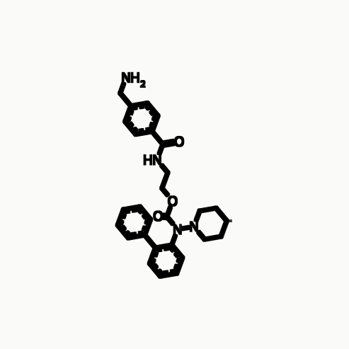 NCc1ccc(C(=O)NCCOC(=O)N(c2ccccc2-c2ccccc2)N2CC[CH]CC2)cc1